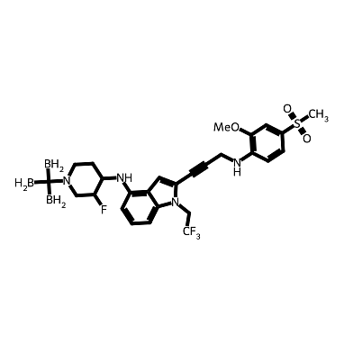 BC(B)(B)N1CCC(Nc2cccc3c2cc(C#CCNc2ccc(S(C)(=O)=O)cc2OC)n3CC(F)(F)F)C(F)C1